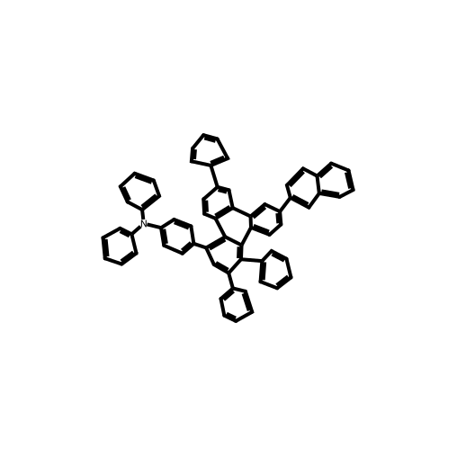 c1ccc(-c2ccc3c(c2)c2cc(-c4ccc5ccccc5c4)ccc2c2c(-c4ccccc4)c(-c4ccccc4)cc(-c4ccc(N(c5ccccc5)c5ccccc5)cc4)c32)cc1